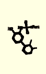 CCCCCS(=O)(=O)Nc1cc(-c2cccc(C)c2C)ccc1O